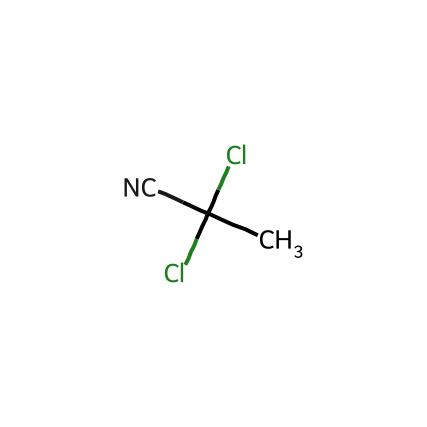 CC(Cl)(Cl)C#N